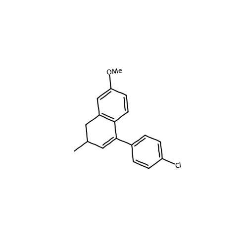 COc1ccc2c(c1)CC(C)C=C2c1ccc(Cl)cc1